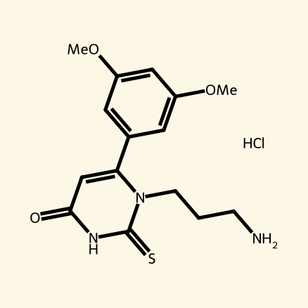 COc1cc(OC)cc(-c2cc(=O)[nH]c(=S)n2CCCN)c1.Cl